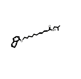 CC(C)CNC(=O)C=CC=CCCCCCCOc1cccc2ccccc12